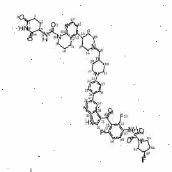 O=C1CCC(NC(=O)N2CCCc3c(C4CCN(CC5CCN(c6ccc(-c7cnc8[nH]cc(C(=O)c9c(F)ccc(NS(=O)(=O)N%10CC[C@@H](F)C%10)c9F)c8c7)cc6)CC5)CC4)ccnc32)C(=O)N1